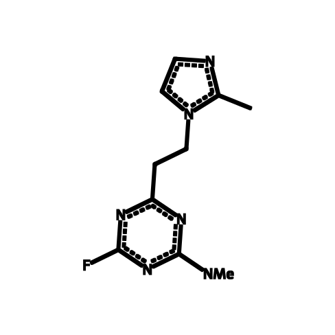 CNc1nc(F)nc(CCn2ccnc2C)n1